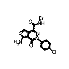 CCNC(=O)c1nn(-c2ccc(Cl)cc2)c(=O)c2c(N)scc12